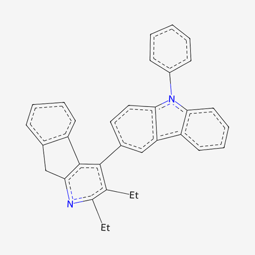 CCc1nc2c(c(-c3ccc4c(c3)c3ccccc3n4-c3ccccc3)c1CC)-c1ccccc1C2